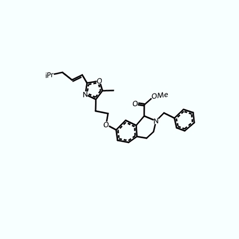 COC(=O)C1c2cc(OCCc3nc(/C=C/CC(C)C)oc3C)ccc2CCN1Cc1ccccc1